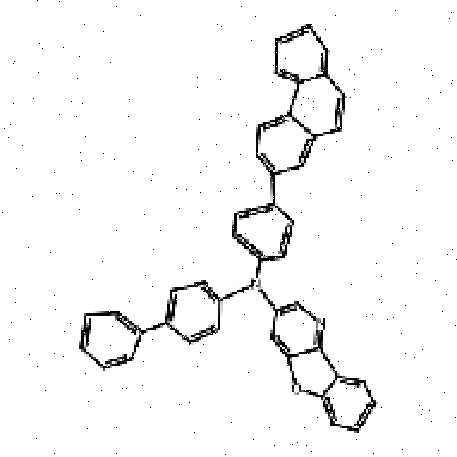 c1ccc(-c2ccc(N(c3ccc(-c4ccc5c(ccc6ccccc65)c4)cc3)c3cnc4c(c3)oc3ccccc34)cc2)cc1